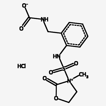 C[N+]1(S(=O)(=O)Nc2ccccc2CNC(=O)[O-])CCOC1=O.Cl